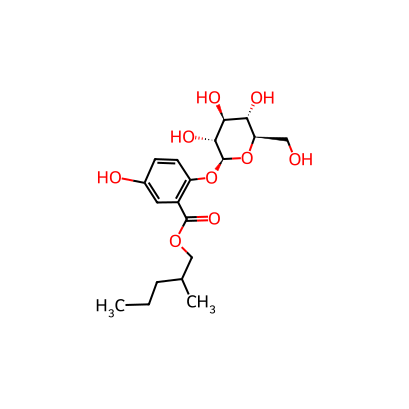 CCCC(C)COC(=O)c1cc(O)ccc1O[C@@H]1O[C@H](CO)[C@@H](O)[C@H](O)[C@H]1O